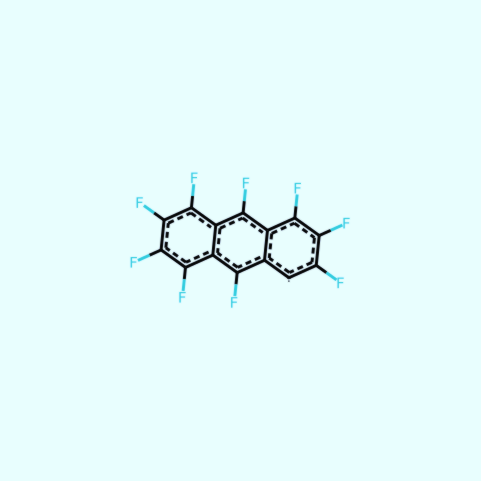 Fc1[c]c2c(F)c3c(F)c(F)c(F)c(F)c3c(F)c2c(F)c1F